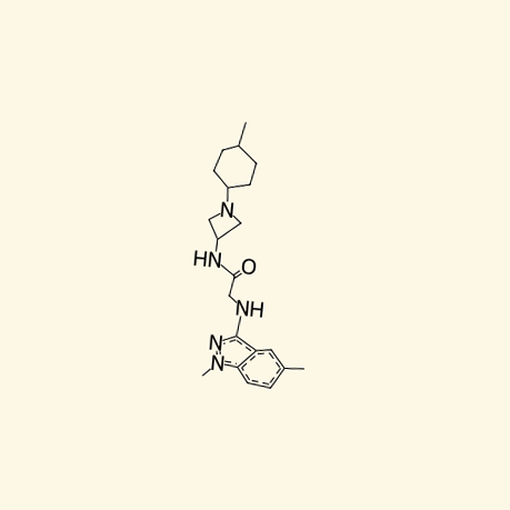 Cc1ccc2c(c1)c(NCC(=O)NC1CN(C3CCC(C)CC3)C1)nn2C